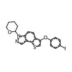 Ic1ccc(Oc2csc3c2ccc2c3cnn2C2CCCCO2)cc1